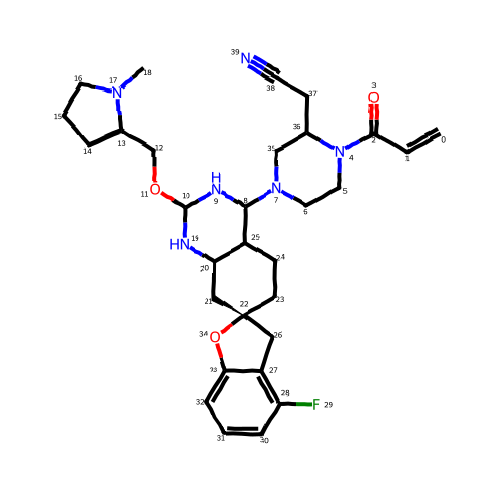 C=CC(=O)N1CCN(C2NC(OCC3CCCN3C)NC3C[C@@]4(CCC32)Cc2c(F)cccc2O4)CC1CC#N